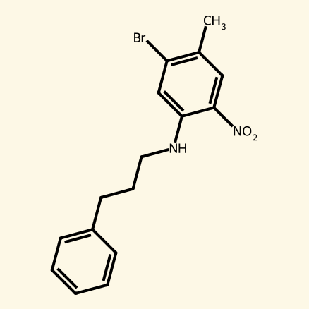 Cc1cc([N+](=O)[O-])c(NCCCc2ccccc2)cc1Br